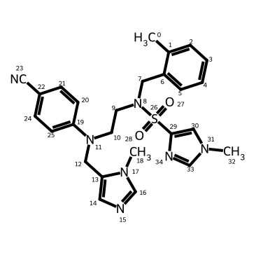 Cc1ccccc1CN(CCN(Cc1cncn1C)c1ccc(C#N)cc1)S(=O)(=O)c1cn(C)cn1